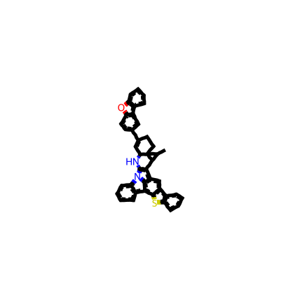 CC1C2c3c(n4c5ccccc5c5c6sc7ccccc7c6cc3c54)NC3C=C(c4ccc5oc6ccccc6c5c4)CCC312